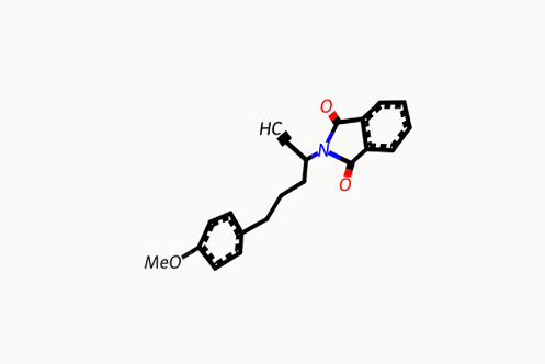 C#CC(CCCc1ccc(OC)cc1)N1C(=O)c2ccccc2C1=O